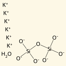 O.[K+].[K+].[K+].[K+].[K+].[K+].[O-][Si]([O-])([O-])O[Si]([O-])([O-])[O-]